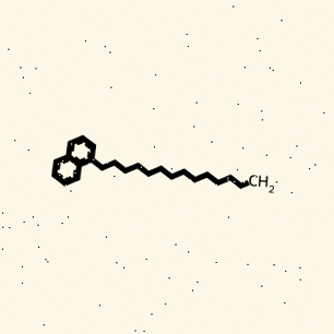 [CH2]CCCCCCCCCCCCCc1cccc2ccccc12